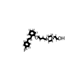 OCCN1CCN(CCCCOc2ccccc2/C=C/c2ccc(F)cc2)CC1